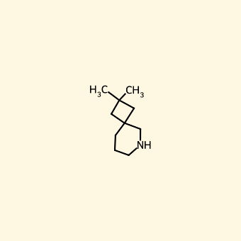 CC1(C)CC2(CCCNC2)C1